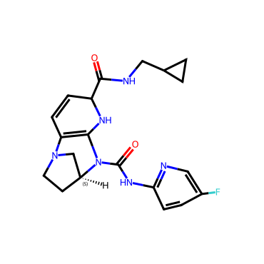 O=C(NCC1CC1)C1C=CC2=C(N1)N(C(=O)Nc1ccc(F)cn1)[C@H]1CCN2C1